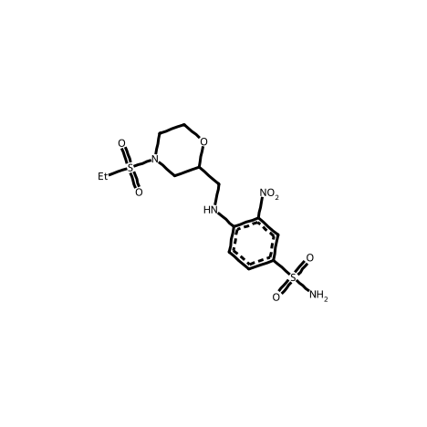 CCS(=O)(=O)N1CCOC(CNc2ccc(S(N)(=O)=O)cc2[N+](=O)[O-])C1